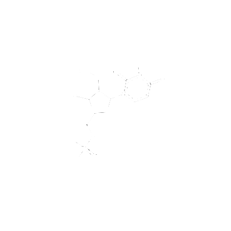 COC1C(O)C(COP(=O)(O)O)OC1n1ccc(=O)[nH]c1=O